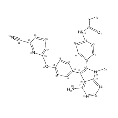 CCC(=O)Nc1ccc(-c2c(-c3ccc(Oc4cccc(C#N)n4)cc3)c3c(N)ncnc3n2C)cc1